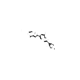 Cc1cn2nc(-c3cc(F)c4nc(C5[C@H]6CN(C)C[C@@H]56)cn4c3)cc2c(C)n1